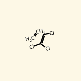 C=C.ClC=C(Cl)Cl